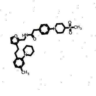 Cc1ccc(CCc2ccoc2CNC(=O)Cc2ccc(N3CCC(S(C)(=O)=O)CC3)cc2)c(N2CCCCC2)c1